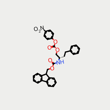 O=C(N[C@@H](CCc1ccccc1)COC(=O)Oc1ccc([N+](=O)[O-])cc1)OCC1c2ccccc2-c2ccccc21